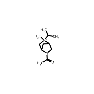 CC(=O)N1CC2CC1C[N+]2(C)C(C)C